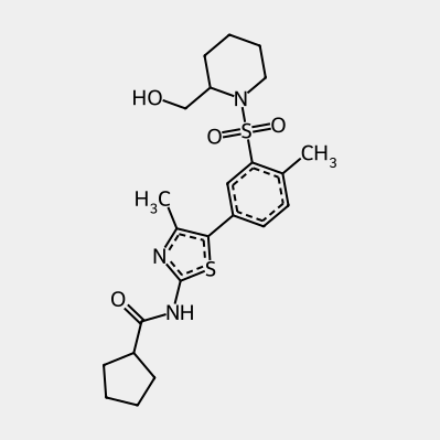 Cc1ccc(-c2sc(NC(=O)C3CCCC3)nc2C)cc1S(=O)(=O)N1CCCCC1CO